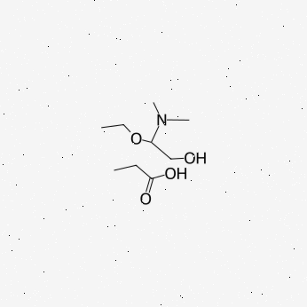 CCC(=O)O.CCOC(CO)N(C)C